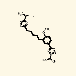 COc1ccc(-c2nnn(C(C)C)n2)cc1CCCCCc1nnc(C(C)C)o1